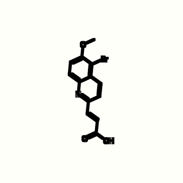 COc1ccc2nc(/C=C/C(=O)O)ccc2c1Br